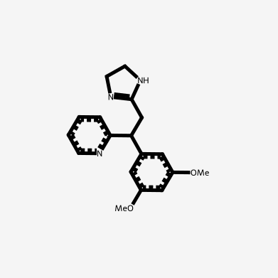 COc1cc(OC)cc(C(CC2=NCCN2)c2ccccn2)c1